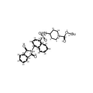 CC(C)(C)OC(=O)N1CCC(NS(=O)(=O)c2ccc(N3C(=O)c4ccccc4C3=O)c3ccccc23)CC1